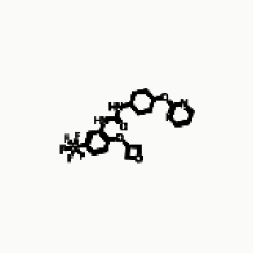 O=C(Nc1cc(S(F)(F)(F)(F)F)ccc1OC1COC1)NC1CCC(Oc2ncccn2)CC1